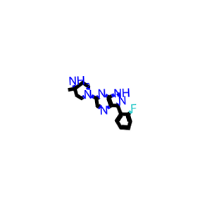 CC1(N)CCN(c2cnc3c(-c4ccccc4F)n[nH]c3n2)CC1